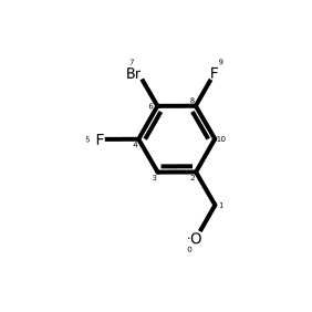 [O]Cc1cc(F)c(Br)c(F)c1